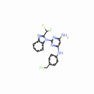 Nc1cc(Nc2ccc(CF)cc2)nc(-n2c(C(F)F)nc3ccccc32)n1